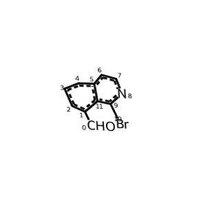 O=Cc1cccc2ccnc(Br)c12